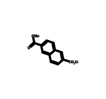 CCOC(=O)c1ccc2cc(C(=O)OC)ccc2c1